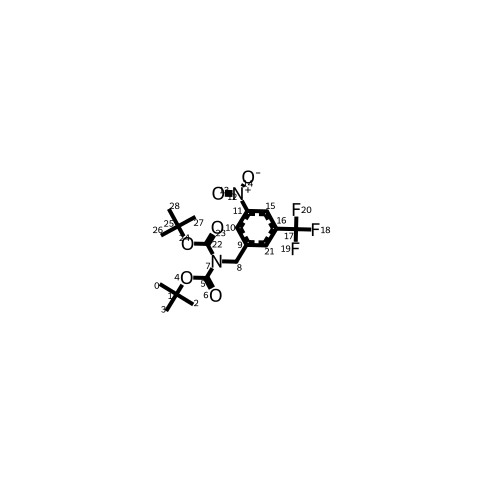 CC(C)(C)OC(=O)N(Cc1cc([N+](=O)[O-])cc(C(F)(F)F)c1)C(=O)OC(C)(C)C